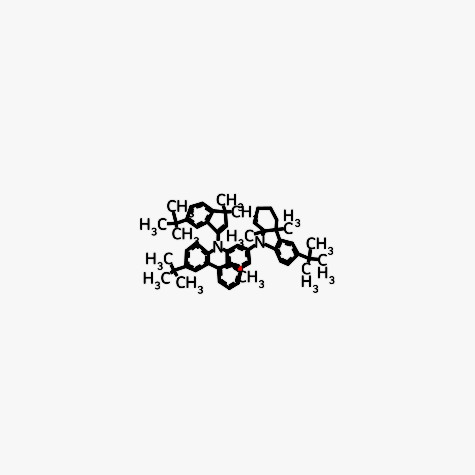 Cc1cc(N(C2=CC(C)(C)c3ccc(C(C)(C)C)cc32)c2ccc(C(C)(C)C)cc2-c2ccccc2)cc(N2c3ccc(C(C)(C)C)cc3C3(C)CCCCC23C)c1